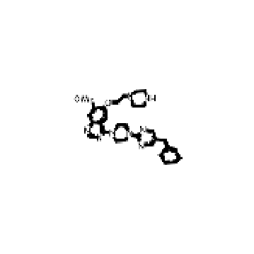 COc1cc2ncnc(N3CCN(c4ncc(Cc5ccccc5)cn4)CC3)c2cc1OCCN1CCNCC1